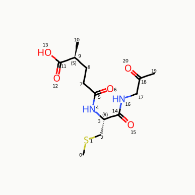 CSC[C@H](NC(=O)CC[C@H](C)C(=O)O)C(=O)NCC(C)=O